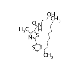 CCCCCCCCCC.Cc1nc(-c2cccs2)sc1C(=O)NCCO